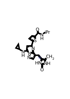 C=c1[nH]c(=O)[nH]/c1=C\c1cnn2c(NC3CC3)cc(-c3ccc(C(=O)NC(C)C)s3)nc12